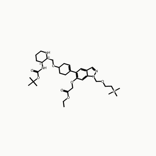 CCOC(=O)COc1cc2c(cnn2COCC[Si](C)(C)C)cc1C1=CCC(OC[C@@H]2NCCC[C@@H]2NC(=O)OC(C)(C)C)CC1